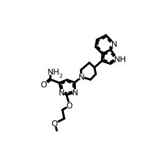 COCCOc1nc(C(N)=O)cc(N2CCC(c3c[nH]c4ncccc34)CC2)n1